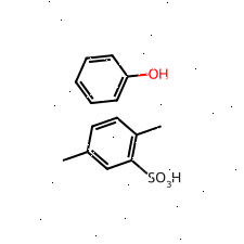 Cc1ccc(C)c(S(=O)(=O)O)c1.Oc1ccccc1